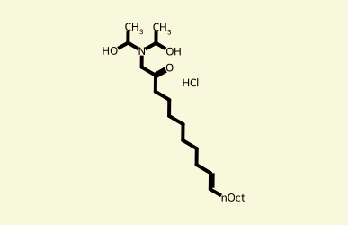 CCCCCCCCC=CCCCCCCCC(=O)CN(C(C)O)C(C)O.Cl